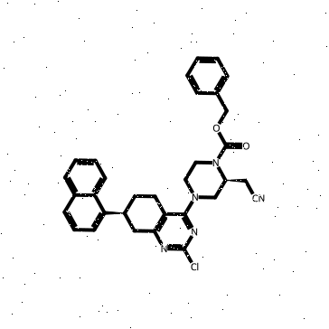 N#CC[C@H]1CN(c2nc(Cl)nc3c2CC[C@H](c2cccc4ccccc24)C3)CCN1C(=O)OCc1ccccc1